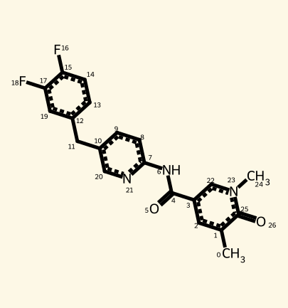 Cc1cc(C(=O)Nc2ccc(Cc3ccc(F)c(F)c3)cn2)cn(C)c1=O